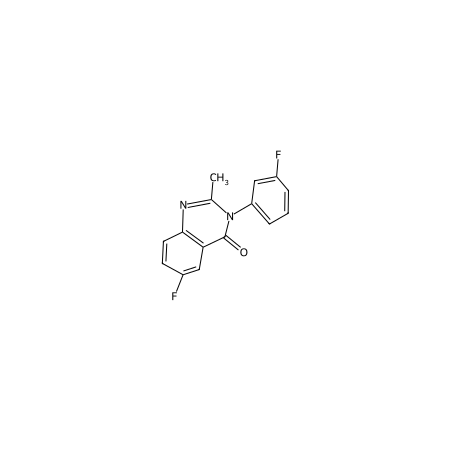 Cc1nc2ccc(F)cc2c(=O)n1-c1cccc(F)c1